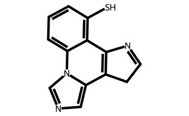 Sc1cccc2c1c1c(c3cncn32)CC=N1